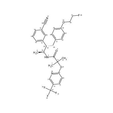 C[C@H](NC(=O)C(C)(C)Oc1ccc(C(F)(F)F)cn1)[C@@H](Cc1ccc(OCCF)cc1)c1cccc(C#N)c1